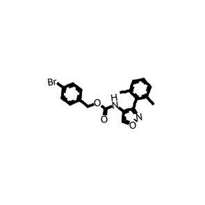 Cc1cccc(C)c1-c1nocc1NC(=O)OCc1ccc(Br)cc1